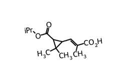 CC(=CC1C(C(=O)OC(C)C)C1(C)C)C(=O)O